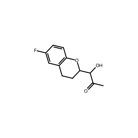 CC(=O)C(O)C1CCc2cc(F)ccc2O1